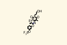 C=C/C(=N\c1c(C)c(=O)n(CCCO)c(=O)n1CC)Oc1cccc(OC(F)(F)F)c1